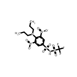 CCCN(CCC)c1c([N+](=O)[O-])cc(S(=O)(=O)NS(=O)(=O)C(F)(F)F)cc1[N+](=O)[O-]